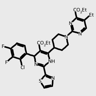 CCOC(=O)C1=C(C2CCN(c3ncc(CC)c(C(=O)OCC)n3)CC2)NC(c2nccs2)=NC1c1ccc(F)c(F)c1Cl